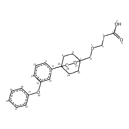 O=C(O)CCOCC12CCC(c3cccc(Oc4ccccc4)c3)(CC1)CO2